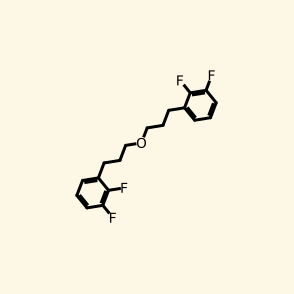 Fc1cccc(CCCOCCCc2cccc(F)c2F)c1F